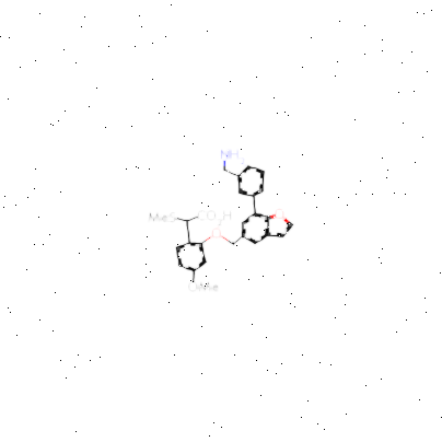 COc1ccc(C(SC)C(=O)O)c(OCc2cc(-c3cccc(CN)c3)c3occc3c2)c1